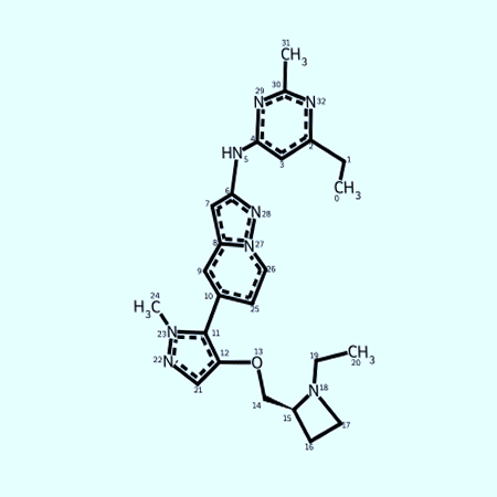 CCc1cc(Nc2cc3cc(-c4c(OC[C@@H]5CCN5CC)cnn4C)ccn3n2)nc(C)n1